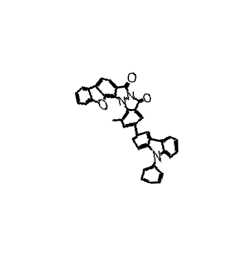 Cc1cc(-c2ccc3c(c2)c2ccccc2n3-c2ccccc2)cc2c(=O)n3c(=O)c4ccc5c6ccccc6oc5c4n3c12